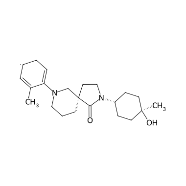 CC1=C[CH]CC=C1N1CCC[C@@]2(CCN([C@H]3CC[C@](C)(O)CC3)C2=O)C1